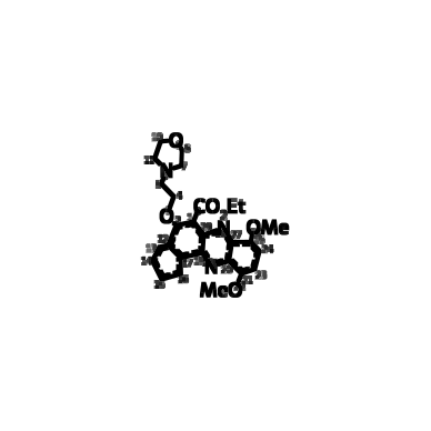 CCOC(=O)c1c(OCCN2CCOCC2)c2ccccc2c2nc3c(OC)ccc(OC)c3nc12